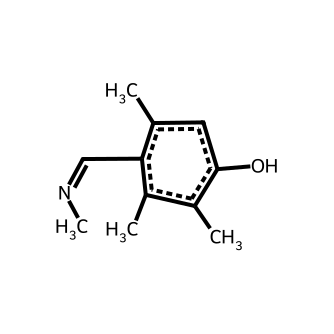 C/N=C\c1c(C)cc(O)c(C)c1C